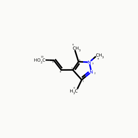 Cc1nn(C)c(C)c1C=CC(=O)O